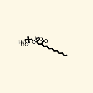 CCCCCCCCCCC(CC(=O)OCC(C)(CO)CO)C(=O)O